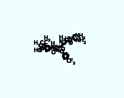 CC1(C)OB(O)c2ccc(NC(=O)[C@@H](COc3ccc(C(F)(F)F)cc3)NC(=O)[C@@H](N)CCC(=O)NC(CN)CN)cc21